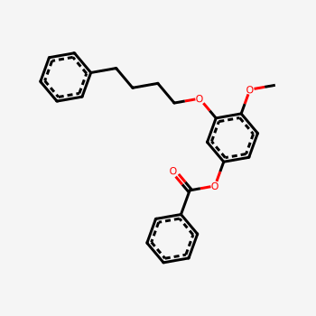 COc1ccc(OC(=O)c2ccccc2)cc1OCCCCc1ccccc1